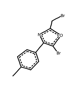 Cc1ccc(-c2nc(CBr)oc2Br)cc1